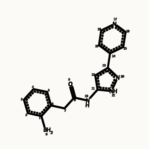 Bc1ccccc1CC(=O)Nc1cc(-c2ccncc2)n[nH]1